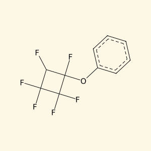 FC1C(F)(F)C(F)(F)C1(F)Oc1ccccc1